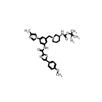 COc1ccc(-c2cnc(C(=O)Nc3cc(CN4CCC[C@H](NC(=O)OC(C)(C)C)C4)cc(-n4cnc(C)c4)c3)s2)cc1